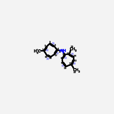 CC1=C/C=C\C(NC2=C/C=C\C(C)=C/C=C\2C)=C/C=C\1